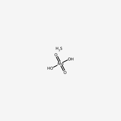 S.[O]=[Mo](=[O])([OH])[OH]